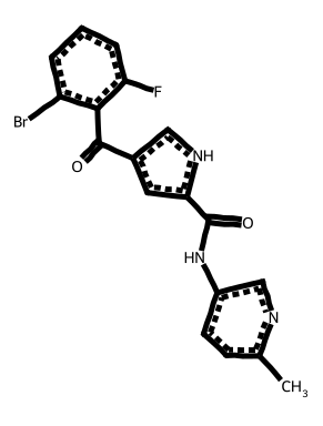 Cc1ccc(NC(=O)c2cc(C(=O)c3c(F)cccc3Br)c[nH]2)cn1